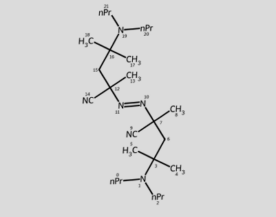 CCCN(CCC)C(C)(C)CC(C)(C#N)N=NC(C)(C#N)CC(C)(C)N(CCC)CCC